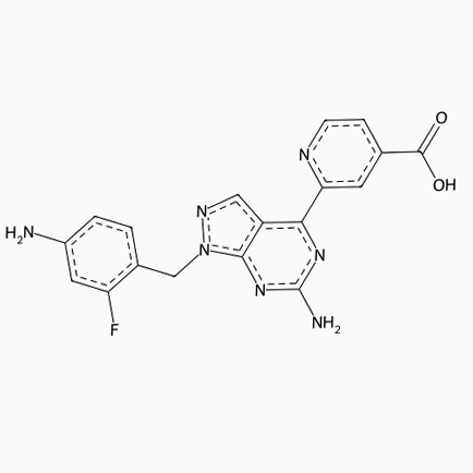 Nc1ccc(Cn2ncc3c(-c4cc(C(=O)O)ccn4)nc(N)nc32)c(F)c1